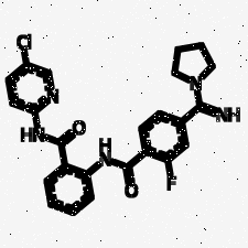 N=C(c1ccc(C(=O)Nc2ccccc2C(=O)Nc2ccc(Cl)cn2)c(F)c1)N1CCCC1